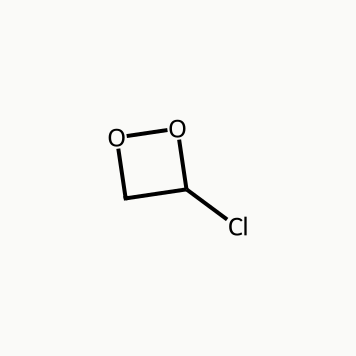 ClC1COO1